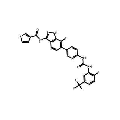 O=C(Nc1ccc(-c2ccc3c(NC(=O)c4ccsc4)n[nH]c3c2F)cn1)Nc1cc(C(F)(F)F)ccc1F